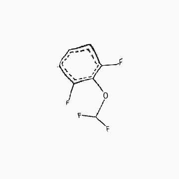 Fc1[c]ccc(F)c1OC(F)F